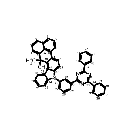 CC1(C)c2cccc3cccc(c23)-c2ccc3c(c21)c1ccccc1n3-c1cccc(-c2nc(-c3ccccc3)nc(-c3ccccc3)n2)c1